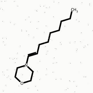 CCCCCCC/C=C/N1CCOCC1